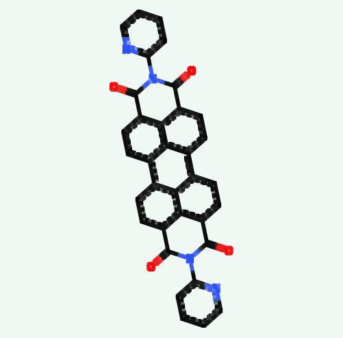 O=C1c2ccc3c4ccc5c6c(ccc(c7ccc(c2c37)C(=O)N1c1ccccn1)c64)C(=O)N(c1ccccn1)C5=O